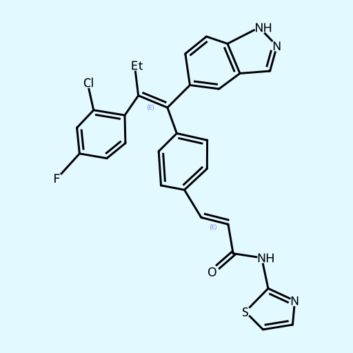 CC/C(=C(/c1ccc(/C=C/C(=O)Nc2nccs2)cc1)c1ccc2[nH]ncc2c1)c1ccc(F)cc1Cl